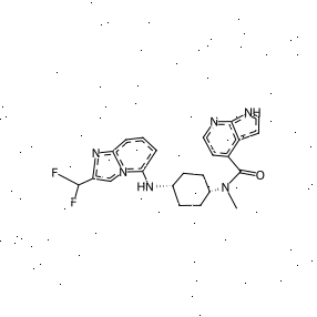 CN(C(=O)c1ccnc2[nH]ccc12)[C@H]1CC[C@@H](Nc2cccc3nc(C(F)F)cn23)CC1